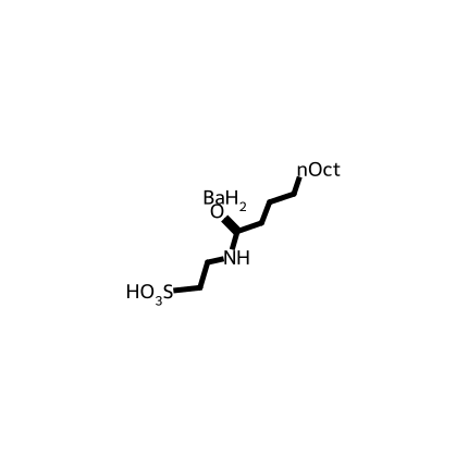 CCCCCCCCCCCC(=O)NCCS(=O)(=O)O.[BaH2]